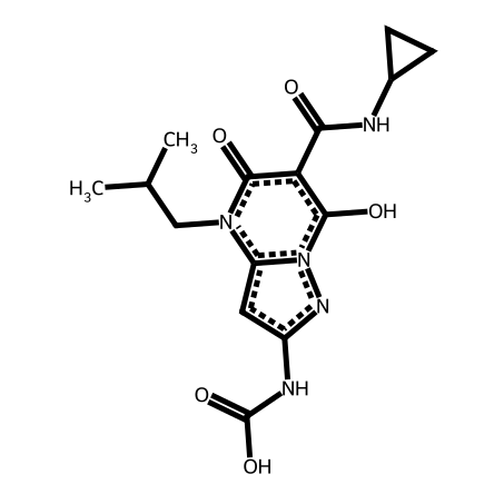 CC(C)Cn1c(=O)c(C(=O)NC2CC2)c(O)n2nc(NC(=O)O)cc12